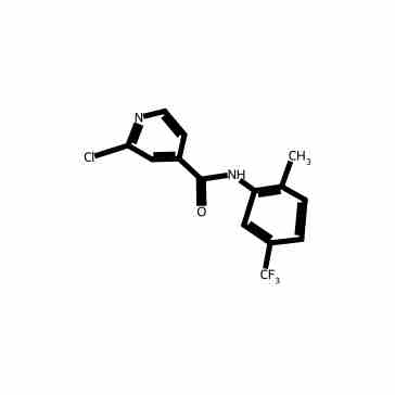 Cc1ccc(C(F)(F)F)cc1NC(=O)c1ccnc(Cl)c1